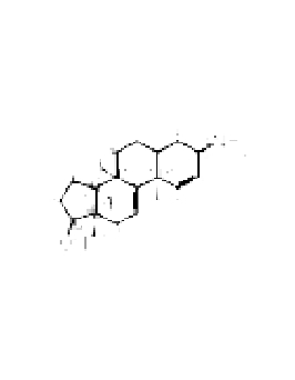 C[C@]12C=CC(N)CC1CC[C@@H]1C2=CC[C@]2(C)C(O)CC[C@@H]12